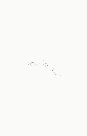 CC(C)(C)c1cnc(CSc2nnc(N[C@@H]3CCCN(C(=O)c4ccc([N+](=O)[O-])cc4)C3)s2)o1